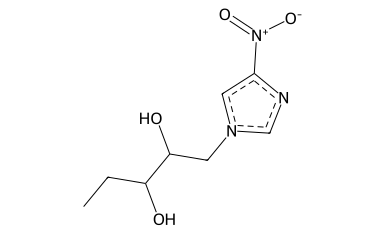 CCC(O)C(O)Cn1cnc([N+](=O)[O-])c1